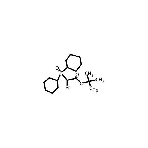 CC(C)(C)OC(=O)C(Br)P(=O)(C1CCCCC1)C1CCCCC1